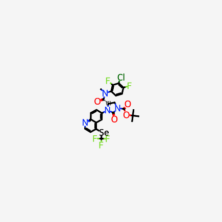 CN(C(=O)[C@@H]1CN(C(=O)OC(C)(C)C)C(=O)N1c1ccc2nccc([Se]C(F)(F)F)c2c1)c1ccc(F)c(Cl)c1F